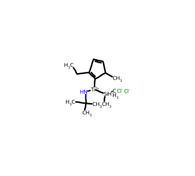 CCC1=[C]([Ti+2]([NH]C(C)(C)C)[SiH](C)C)C(C)C=C1.[Cl-].[Cl-]